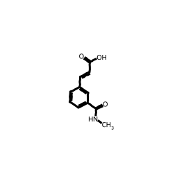 CNC(=O)c1cccc(/C=C/C(=O)O)c1